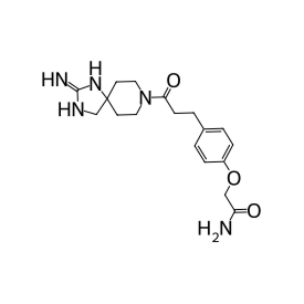 N=C1NCC2(CCN(C(=O)CCc3ccc(OCC(N)=O)cc3)CC2)N1